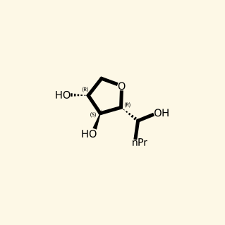 [CH2]CCC(O)[C@H]1OC[C@@H](O)[C@@H]1O